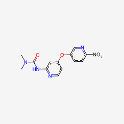 CN(C)C(=O)Nc1cc(Oc2ccc([N+](=O)[O-])nc2)ccn1